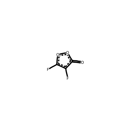 O=c1ooc(F)c1F